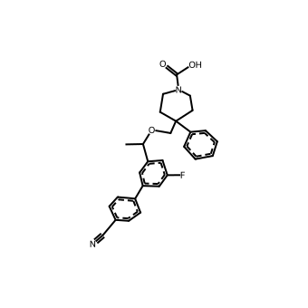 CC(OCC1(c2ccccc2)CCN(C(=O)O)CC1)c1cc(F)cc(-c2ccc(C#N)cc2)c1